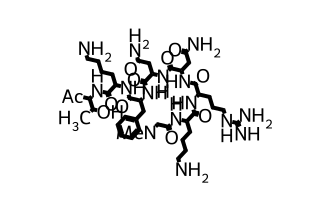 CNCC(=O)NC(CCCCN)C(=O)NC(CCCNC(=N)N)C(=O)NC(CC(N)=O)C(=O)NC(CC(N)=O)C(=O)NC(Cc1ccccc1)C(=O)NC(CCCCN)C(=O)NC(C(C)=O)C(C)O